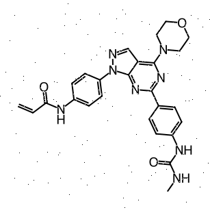 C=CC(=O)Nc1ccc(-n2ncc3c(N4CCOCC4)nc(-c4ccc(NC(=O)NC)cc4)nc32)cc1